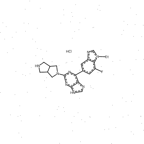 CCn1cnc2cc(-c3nc(N4CC5CNCC5C4)nc4[nH]cnc34)cc(F)c21.Cl